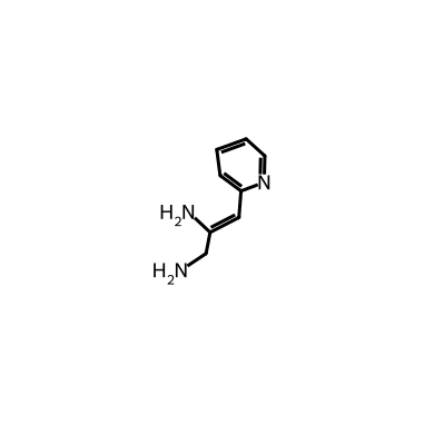 NCC(N)=Cc1ccccn1